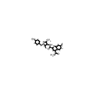 CCc1ccc(Cn2nc(C(F)(F)F)c(NC(=O)c3cc(C(N)=O)c4ccc(F)cc4n3)c2C)cc1